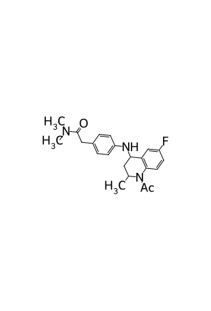 CC(=O)N1c2ccc(F)cc2C(Nc2ccc(CC(=O)N(C)C)cc2)CC1C